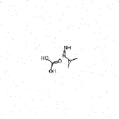 CN(C)N=N.O=C(O)O